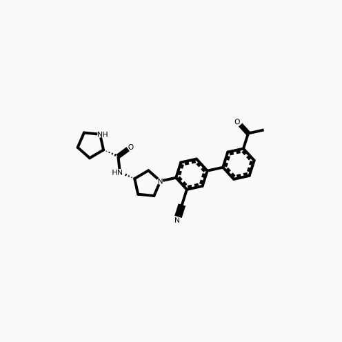 CC(=O)c1cccc(-c2ccc(N3CC[C@H](NC(=O)[C@@H]4CCCN4)C3)c(C#N)c2)c1